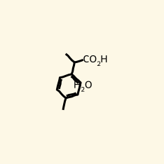 Cc1ccc(C(C)C(=O)O)cc1.O